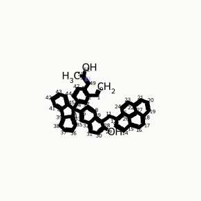 C=Cc1cc(C2(c3ccc4c(Cc5ccc6ccc7cccc8ccc5c6c78)c(O)ccc4c3)c3ccccc3-c3ccccc32)ccc1/C=C(\C)O